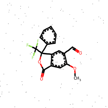 COc1cc2c(cc1C=O)C(c1ccccc1)(C(F)(F)F)OC2=O